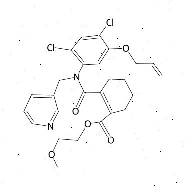 C=CCOc1cc(N(Cc2cccnc2)C(=O)C2=C(C(=O)OCCOC)CCCC2)c(Cl)cc1Cl